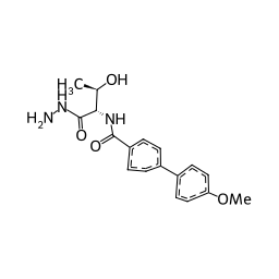 COc1ccc(-c2ccc(C(=O)N[C@H](C(=O)NN)[C@@H](C)O)cc2)cc1